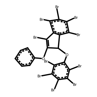 BrC1=C(Oc2ccccc2)C(Oc2c(Br)c(Br)c(Br)c(Br)c2Br)c2c(Br)c(Br)c(Br)c(Br)c21